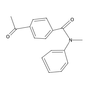 CC(=O)c1ccc(C(=O)N(C)c2ccccc2)cc1